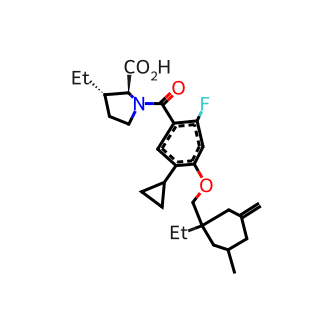 C=C1CC(C)CC(CC)(COc2cc(F)c(C(=O)N3CC[C@H](CC)[C@H]3C(=O)O)cc2C2CC2)C1